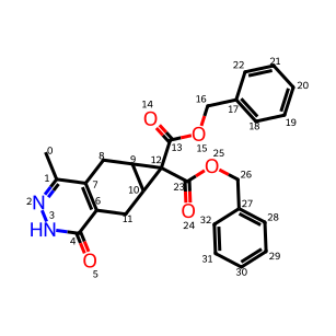 Cc1n[nH]c(=O)c2c1CC1C(C2)C1(C(=O)OCc1ccccc1)C(=O)OCc1ccccc1